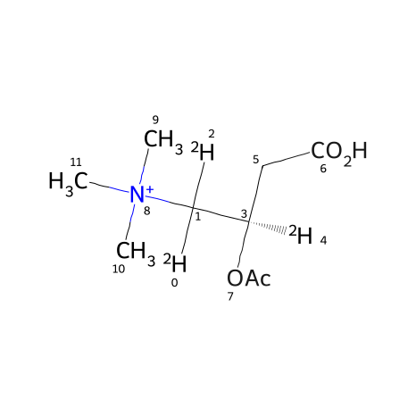 [2H]C([2H])([C@@]([2H])(CC(=O)O)OC(C)=O)[N+](C)(C)C